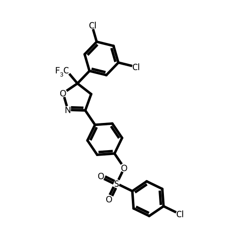 O=S(=O)(Oc1ccc(C2=NOC(c3cc(Cl)cc(Cl)c3)(C(F)(F)F)C2)cc1)c1ccc(Cl)cc1